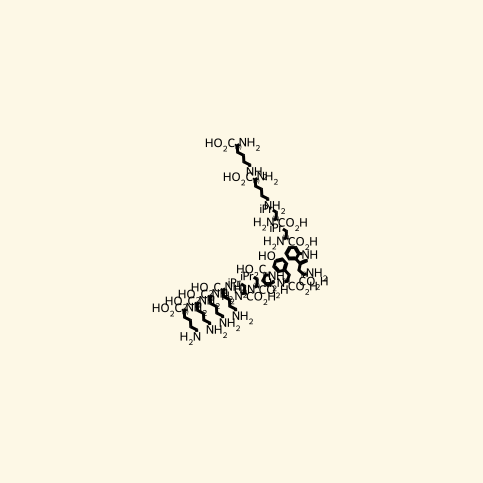 CC(C)C[C@H](N)C(=O)O.CC(C)C[C@H](N)C(=O)O.CC(C)C[C@H](N)C(=O)O.CC(C)C[C@H](N)C(=O)O.NCCCC[C@H](N)C(=O)O.NCCCC[C@H](N)C(=O)O.NCCCC[C@H](N)C(=O)O.NCCCC[C@H](N)C(=O)O.NCCCC[C@H](N)C(=O)O.NCCCC[C@H](N)C(=O)O.N[C@@H](Cc1c[nH]c2ccccc12)C(=O)O.N[C@@H](Cc1ccc(O)cc1)C(=O)O.O=C(O)[C@@H]1CCCN1